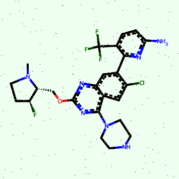 CN1CC[C@H](F)[C@H]1COc1nc(N2CCNCC2)c2cc(Cl)c(-c3nc(N)ccc3C(F)(F)F)cc2n1